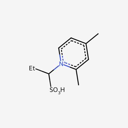 CCC([n+]1ccc(C)cc1C)S(=O)(=O)O